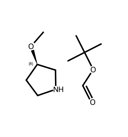 CC(C)(C)OC=O.CO[C@@H]1CCNC1